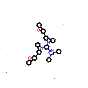 c1ccc(-c2cc(-c3ccccc3)nc(-c3cc(-n4c5ccccc5c5cc(-c6ccc7c(c6)oc6ccccc67)ccc54)cc(-n4c5ccccc5c5cc(-c6ccc7c(c6)oc6ccccc67)ccc54)c3)n2)cc1